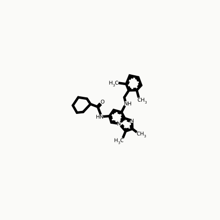 Cc1cccc(C)c1CNc1cc(NC(=O)C2CCCCC2)cn2c(C)c(C)nc12